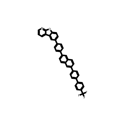 FC(F)(F)c1ccc(-c2ccc(-c3ccc4cc(-c5ccc(-c6ccc7oc8ncccc8c7c6)cc5)ccc4c3)cc2)cc1